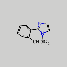 O=Cc1ccccc1-c1nccn1[N+](=O)[O-]